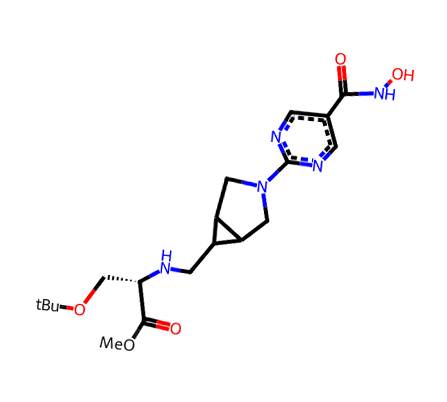 COC(=O)[C@H](COC(C)(C)C)NCC1C2CN(c3ncc(C(=O)NO)cn3)CC12